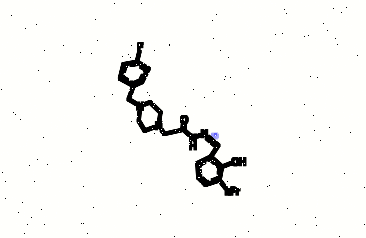 CCCc1cccc(/C=N\NC(=O)CN2CCN(Cc3ccc(F)cc3)CC2)c1O